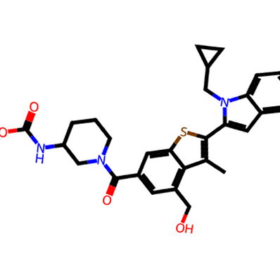 Cc1c(-c2cc3ccccc3n2CC2CC2)sc2cc(C(=O)N3CCCC(NC(=O)O)C3)cc(CO)c12